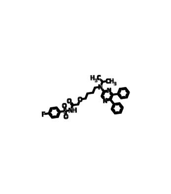 CC(C)N(CCCCOCC(=O)NS(=O)(=O)c1ccc(F)cc1)c1cnc(-c2ccccc2)c(-c2ccccc2)n1